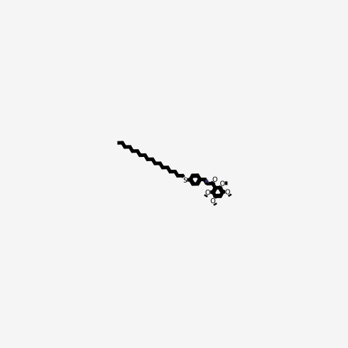 CCCCCCCCCCCCCCCCCCSc1ccc(/C=C/C(=O)c2c(OC)c(OC)cc(OC)c2OC)cc1